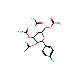 CC(=O)OCC1O[C@@H](c2ccc(Br)cc2)[C@@H](OC(C)=O)C(OC(C)=O)[C@@H]1OC(C)=O